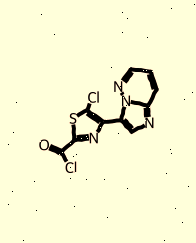 O=C(Cl)c1nc(-c2cnc3cccnn23)c(Cl)s1